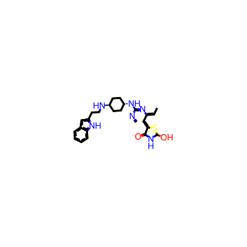 C=N\C(=N/C(=C\C)/C=C1\SC(O)NC1=O)N[C@H]1CC[C@H](NCCc2cc3ccccc3[nH]2)CC1